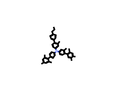 CCCc1ccc(-c2ccc(N(c3ccc(-c4c(C)cc(C)cc4C)cc3)c3ccc(-c4cc(C)c(C)cc4C)c(C)c3)cc2C)cc1